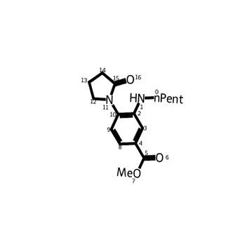 CCCCCNc1cc(C(=O)OC)ccc1N1CCCC1=O